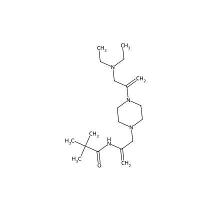 C=C(CN1CCN(C(=C)CN(CC)CC)CC1)NC(=O)C(C)(C)C